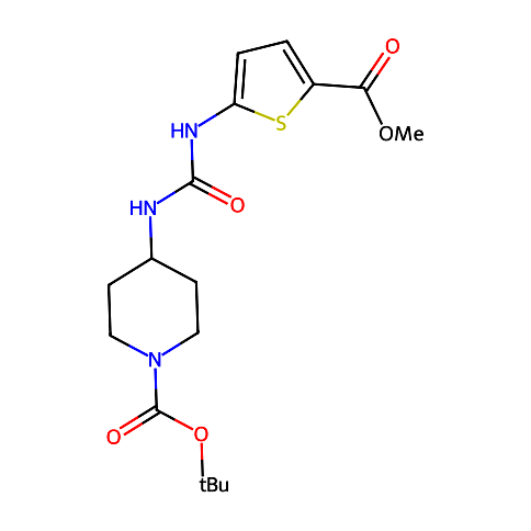 COC(=O)c1ccc(NC(=O)NC2CCN(C(=O)OC(C)(C)C)CC2)s1